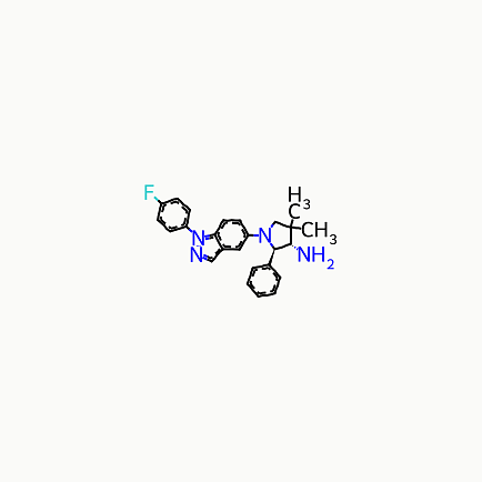 CC1(C)CN(c2ccc3c(cnn3-c3ccc(F)cc3)c2)[C@H](c2ccccc2)[C@H]1N